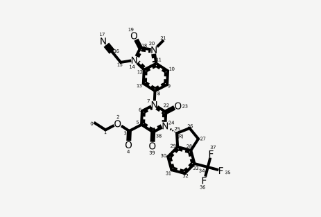 CCOC(=O)c1cn(-c2ccc3c(c2)n(CC#N)c(=O)n3C)c(=O)n([C@@H]2CCc3c2cccc3C(F)(F)F)c1=O